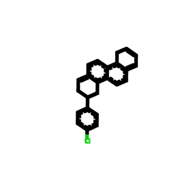 Clc1ccc(C2CC=c3ccc4c5c(ccc4c3C2)=CC=CC5)cc1